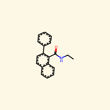 CCNC(=O)c1c(-c2ccccc2)ccc2ccccc12